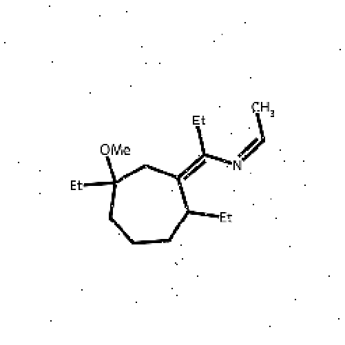 C/C=N\C(CC)=C1\CC(CC)(OC)CCCC1CC